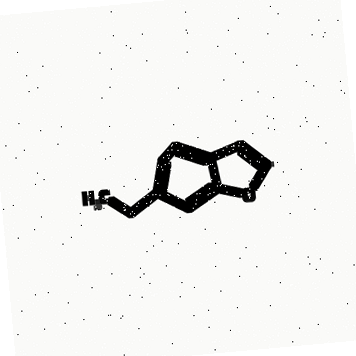 CCc1ccc2c[c]oc2c1